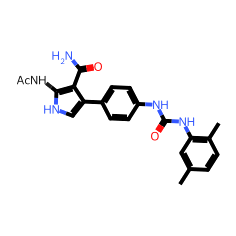 CC(=O)Nc1[nH]cc(-c2ccc(NC(=O)Nc3cc(C)ccc3C)cc2)c1C(N)=O